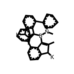 CC1=C(B(C2=C(C)[CH]([K])c3cccc(-c4ccccc4)c32)N(C)C)c2c(-c3ccccc3)cccc2[CH]1[K]